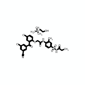 CCC(=O)NS(=O)(=O)c1ccc(NC(=O)COc2ccc(Cl)cc2C(=O)c2cc(Cl)cc(C#N)c2)c(C)c1.C[N+](C)(C)CCO